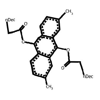 CCCCCCCCCCCC(=O)Oc1c2ccc(C)cc2c(OC(=O)CCCCCCCCCCC)c2cc(C)ccc12